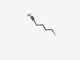 C#CCCCCI